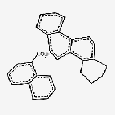 O=C(O)c1cccc2ccccc12.c1ccc2c(c1)ccc1c3c(ccc12)CCCC3